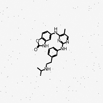 Cc1cnc(Nc2cccc(CCNC(C)C)c2)nc1Nc1ccc2oc(=O)[nH]c2c1